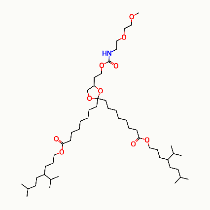 COCCOCCNC(=O)OCCC1COC(CCCCCCCC(=O)OCCCC(CCC(C)C)C(C)C)(CCCCCCCC(=O)OCCCC(CCC(C)C)C(C)C)O1